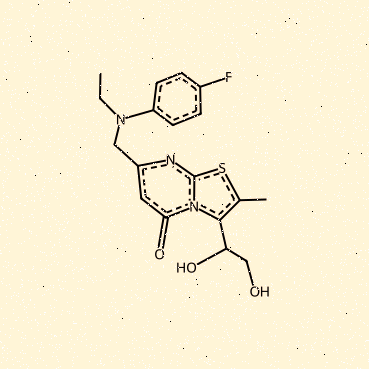 CCN(Cc1cc(=O)n2c(C(O)CO)c(C)sc2n1)c1ccc(F)cc1